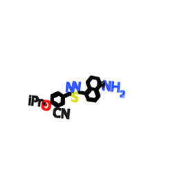 CC(C)Oc1ccc(-c2nnc(-c3cccc4c3CCC[C@@H]4N)s2)cc1C#N